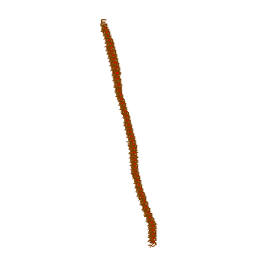 S=S=S=S=S=S=S=S=S=S=S=S=S=S=S=S=S=S=S=S=S=S=S=S=S=S=S=S=S=S=S=S=S=S=S=S=S=S=S=S=S=S=S=S=S=S=S=S=S=S=S=S=S=S=S=S=S=S=S=S=S=S=S=S=S=S=S=S=S=S=S=S=S=S=S=S=S=S=S=S=S=S=S=S=S=S=S=S=S=S=S=S=S=S=S=S=S=S=S=S=S=S=S